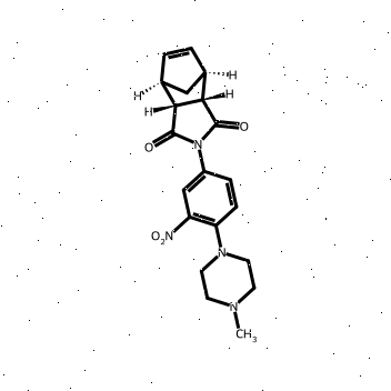 CN1CCN(c2ccc(N3C(=O)[C@@H]4[C@H](C3=O)[C@H]3C=C[C@@H]4C3)cc2[N+](=O)[O-])CC1